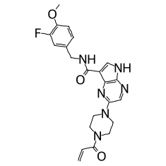 C=CC(=O)N1CCN(c2cnc3[nH]cc(C(=O)NCc4ccc(OC)c(F)c4)c3n2)CC1